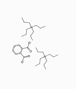 CCC[N+](CCC)(CCC)CCC.CCC[N+](CCC)(CCC)CCC.O=C([O-])c1ccccc1C(=O)[O-]